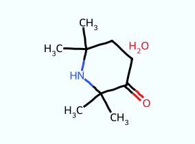 CC1(C)CCC(=O)C(C)(C)N1.O